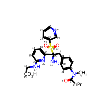 CCCC(=O)N(C)c1ccc(CC(N)(c2cccc(NCC(=O)O)n2)S(=O)(=O)c2cccnc2)cc1